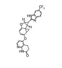 O=C1CCc2c(OC3=CC=C4O[C@@H]5[C@@H](c6nc7ccc(C(F)(F)F)cc7[nH]6)[C@@H]5C45CC35)ccnc2N1